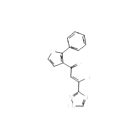 O=C(C=C(O)c1nc[nH]n1)c1ccoc1-c1ccccc1